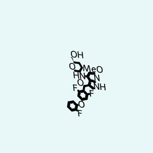 COc1cnc2[nH]cc(C(=O)c3c(F)cc(Oc4ccccc4F)cc3F)c2c1N[C@@H]1CC[C@@H](CO)OC1